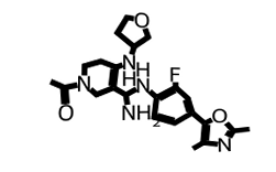 CC(=O)N1CCC(NC2CCOC2)=C(C(N)Nc2ccc(-c3oc(C)nc3C)cc2F)C1